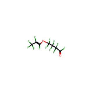 O=C(F)C(F)(F)C(F)(F)C(F)(F)OC(F)=C(F)C(F)(F)F